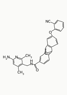 Cc1cc(N)nc(C)c1CNC(=O)c1ccc2c(c1)c1oc2c2ccc(Oc3ccccc3C#N)cc21